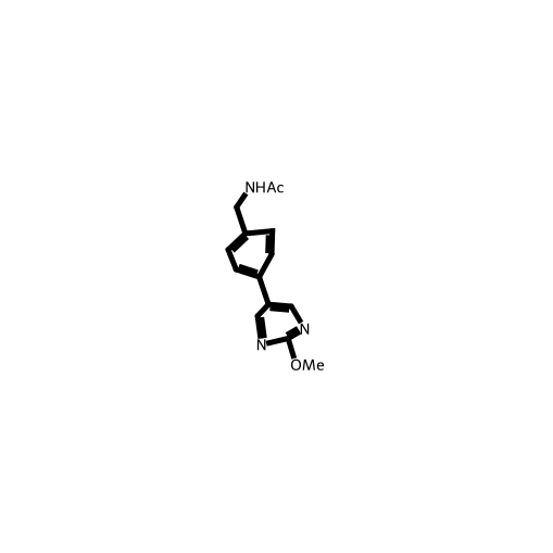 COc1ncc(-c2ccc(CNC(C)=O)cc2)cn1